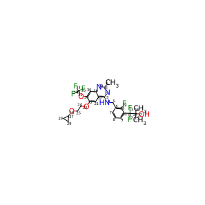 Cc1nc(NCc2cccc(C(F)(F)C(C)(C)O)c2F)c2cc(OCCOC3CC3)c(OC(F)(F)F)cc2n1